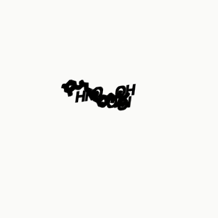 Cc1ccc(CC(C)CCCNC(=O)Cc2ccc3oc(C(O)c4c(C)noc4C)cc3c2)c(C)c1